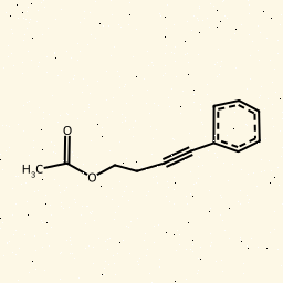 CC(=O)OCCC#Cc1ccccc1